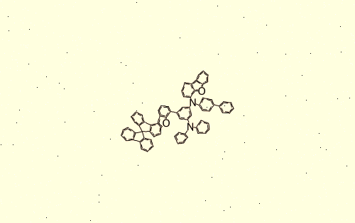 c1ccc(-c2ccc(N(c3cc(-c4cccc5c4oc4ccc6c(c45)-c4ccccc4C64c5ccccc5-c5ccccc54)cc(N(c4ccccc4)c4ccccc4)c3)c3cccc4c3oc3ccccc34)cc2)cc1